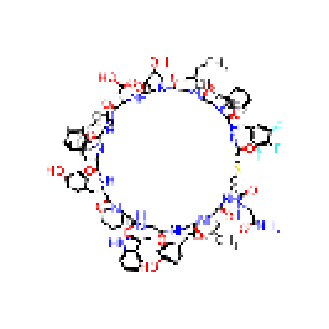 CCCC[C@H]1C(=O)N2C[C@@H](O)C[C@@H]2C(=O)N[C@@H](CC(=O)O)C(=O)N[C@@H](C(C)C)C(=O)N(C)[C@@H](Cc2ccccc2)C(=O)N[C@@H](Cc2ccc(O)cc2)C(=O)N2CCCC[C@@H]2C(=O)N[C@@H](Cc2c[nH]c3ccccc23)C(=O)N[C@@H](Cc2ccc(O)cc2)C(=O)N[C@@H](CC(C)C)C(=O)N[C@H](C(=O)NCC(N)=O)CSCC(=O)N[C@@H](Cc2cc(F)c(F)c(F)c2)C(=O)N(C)[C@@H](Cc2ccccc2)C(=O)N1C